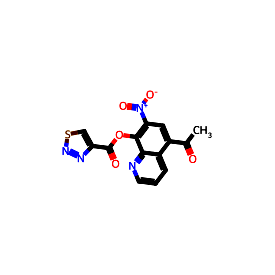 CC(=O)c1cc([N+](=O)[O-])c(OC(=O)c2csnn2)c2ncccc12